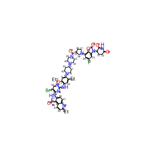 CCOc1cc(N2CCC(N3CCN(C(=O)[C@@H]4CCN(c5cc(F)cc6c5oc(=O)n6C5CCC(=O)NC5=O)C4)CC3)CC2)c(CC)cc1Nc1ncc(Br)c(Nc2ccc3nc(CC)ccc3c2P(C)(C)=O)n1